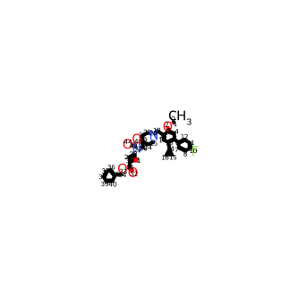 CCOc1cc(-c2ccc(F)cc2)c(C2CC2)cc1CN1CCC2(CC1)CN(C13CC(C(=O)OCc4ccccc4)(C1)C3)C(=O)O2